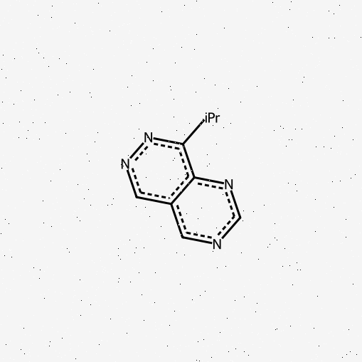 CC(C)c1nncc2cncnc12